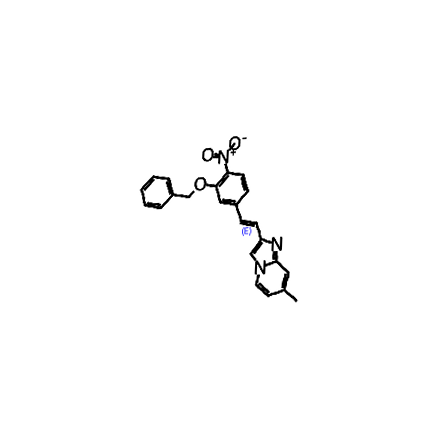 Cc1ccn2cc(/C=C/c3ccc([N+](=O)[O-])c(OCc4ccccc4)c3)nc2c1